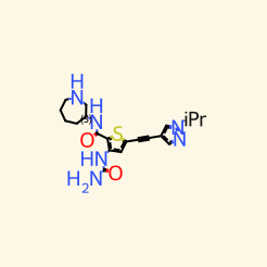 CC(C)n1cc(C#Cc2cc(NC(N)=O)c(C(=O)N[C@H]3CCCCNC3)s2)cn1